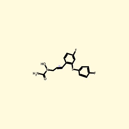 NC(=O)N(O)C/C=C/c1ccc(F)cc1Sc1ccc(F)cc1